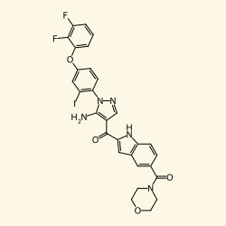 Nc1c(C(=O)c2cc3cc(C(=O)N4CCOCC4)ccc3[nH]2)cnn1-c1ccc(Oc2cccc(F)c2F)cc1I